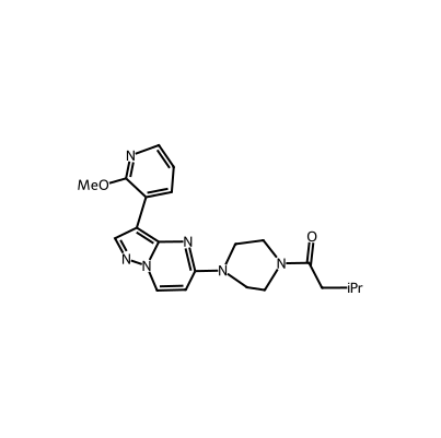 COc1ncccc1-c1cnn2ccc(N3CCN(C(=O)CC(C)C)CC3)nc12